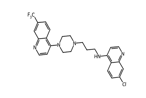 FC(F)(F)c1ccc2c(N3CCN(CCCNc4ccnc5cc(Cl)ccc45)CC3)ccnc2c1